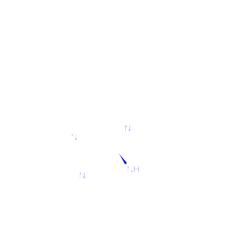 N[C@@H]1N=C(c2ccccc2)c2ccccc2-n2ccnc21